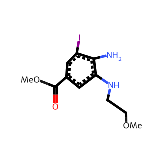 COCCNc1cc(C(=O)OC)cc(I)c1N